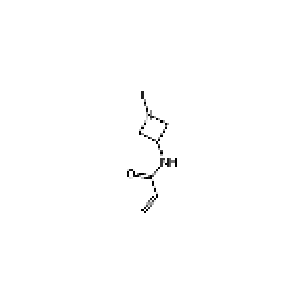 C=CC(=O)NC1CN(I)C1